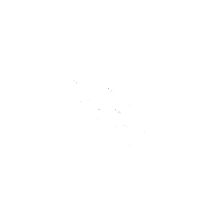 CCc1c(C#N)c(Cl)nc(N2CCC3(CCO3)C2)c1C#N